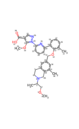 COCC(C)N1CCc2cc(COc3c(C)cccc3-c3cccc(-n4ncc(C(=O)O)c4OC)n3)cc(C)c2C1